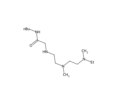 CCCCNC(=O)CNCCN(C)CCN(C)CC